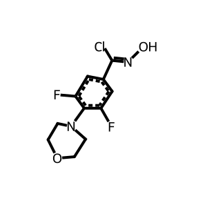 ON=C(Cl)c1cc(F)c(N2CCOCC2)c(F)c1